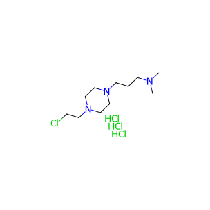 CN(C)CCCN1CCN(CCCl)CC1.Cl.Cl.Cl